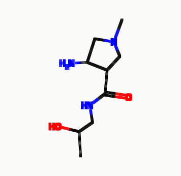 CC(O)CNC(=O)C1CN(C)CC1N